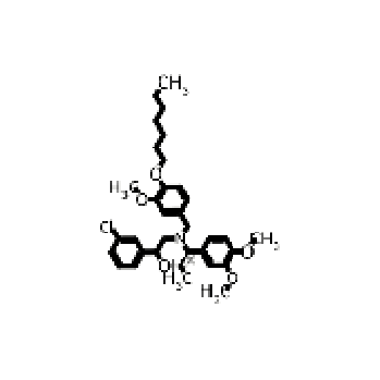 C[CH][C@H](c1ccc(OC)c(OC)c1)N(Cc1ccc(OCCCCCCC)c(OC)c1)CC(O)c1cccc(Cl)c1